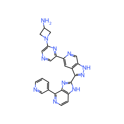 NC1CN(c2cncc(-c3cc4c(-c5nc6c(-c7cccnc7)nccc6[nH]5)n[nH]c4cn3)n2)C1